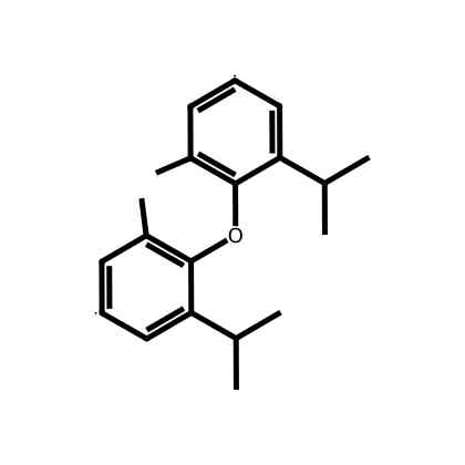 Cc1c[c]cc(C(C)C)c1Oc1c(C)c[c]cc1C(C)C